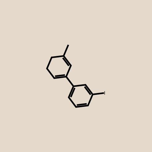 CC1=CC(c2cccc(I)c2)=CCC1